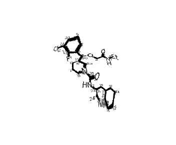 CCNC(=O)CO[C@@H](c1cccc(Cl)c1F)[C@@H]1CCCN(C(=O)N[C@H](CNC)CC2CCCCC2)C1